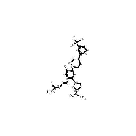 CN(C)[C@@H]1CCN(c2cc(N3CCC(c4cccc(C(F)(F)F)c4)CC3)c(F)cc2C=NNC(N)=S)C1